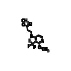 COC(=O)CCSc1ccnc(OC)c1C(F)(F)F